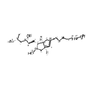 CCCC[C@H](C)C[C@H](O)/C=C/[C@@H]1[C@H]2CC(CCCCCNCCC)=C[C@H]2C[C@H]1O